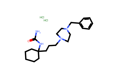 Cl.Cl.NC(=O)NC1(CCCN2CCN(Cc3ccccc3)CC2)CCCCC1